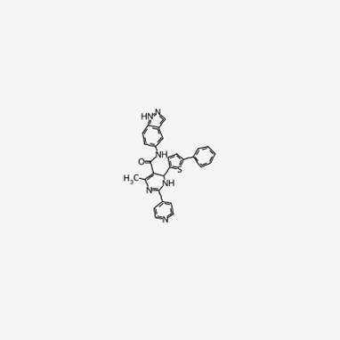 CC1=C(C(=O)Nc2ccc3[nH]ncc3c2)C(c2ccc(-c3ccccc3)s2)NC(c2ccncc2)=N1